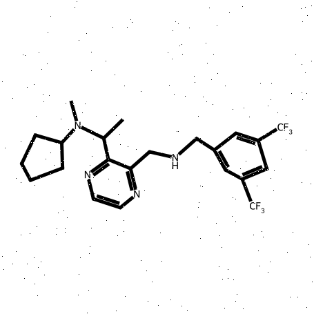 CC(c1nccnc1CNCc1cc(C(F)(F)F)cc(C(F)(F)F)c1)N(C)C1CCCC1